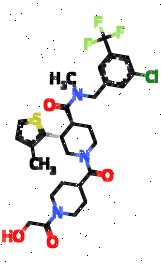 Cc1ccsc1[C@H]1CN(C(=O)C2CCN(C(=O)CO)CC2)CC[C@@H]1C(=O)N(C)Cc1cc(Cl)cc(C(F)(F)F)c1